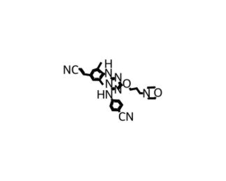 Cc1cc(C=CC#N)cc(C)c1Nc1nc(Nc2ccc(C#N)cc2)nc(OCCCN2CCOCC2)n1